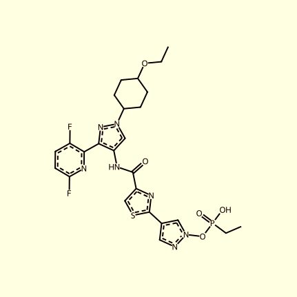 CCOC1CCC(n2cc(NC(=O)c3csc(-c4cnn(OP(=O)(O)CC)c4)n3)c(-c3nc(F)ccc3F)n2)CC1